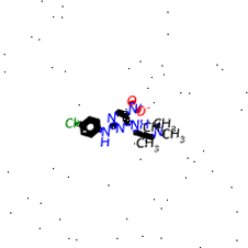 CN(C)CC(C)(C)CNc1nc(Nc2ccc(Cl)cc2)ncc1[N+](=O)[O-]